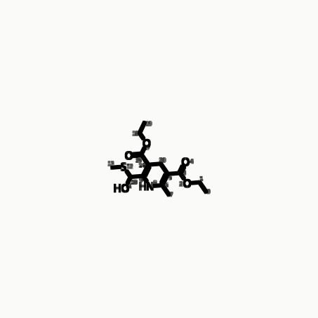 CCOC(=O)C1=C(C)NC(C(O)SC)=C(C(=O)OCC)C1